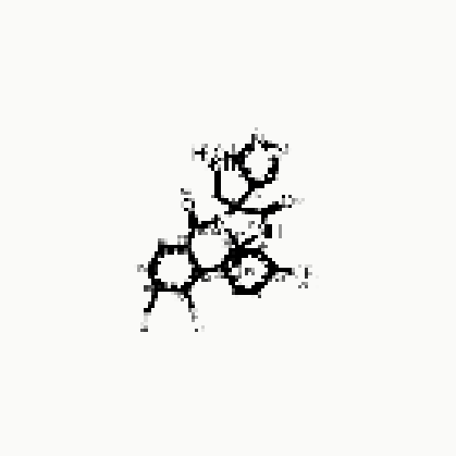 Cc1nscc1C1(CN)C(=O)NC(=O)N1C(=O)c1ccc(F)c(F)c1-c1ccc(C(F)(F)F)cc1